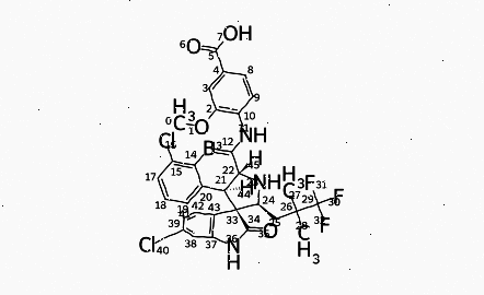 COc1cc(C(=O)O)ccc1NC1=Bc2c(Cl)cccc2[C@H]2[C@H]1N[C@@H](CC(C)(C)C(F)(F)F)[C@@]21C(=O)Nc2cc(Cl)ccc21